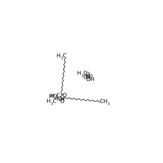 CCCCCCCCCCCCCCCCCC(=O)C(C)(NC(C)O)C(=O)CCCCCCCCCCCCCCCCC.COS(=O)(=O)O